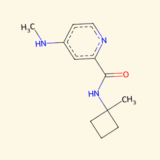 CNc1ccnc(C(=O)NC2(C)CCC2)c1